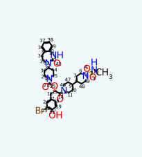 CNS(=O)(=O)N1CCC(C2CCN(C(=O)[C@@H](Cc3ccc(O)c(Br)c3)OC(=O)N3CCC(N4CCc5ccccc5NC4=O)CC3)CC2)CC1